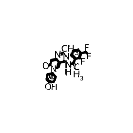 Cc1nc(N[C@H](C)c2cccc(C(F)F)c2F)c2cn(C34CCC(O)(CC3)CC4)c(=O)cc2n1